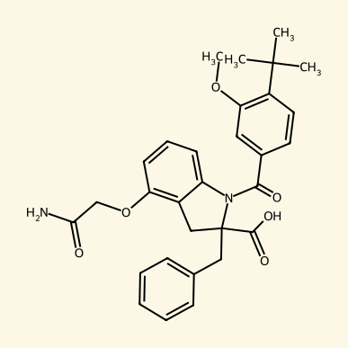 COc1cc(C(=O)N2c3cccc(OCC(N)=O)c3CC2(Cc2ccccc2)C(=O)O)ccc1C(C)(C)C